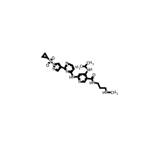 CNCCCNC(=O)c1cnc(Nc2ccnc(-c3cnn(S(=O)(=O)C4CC4)c3)n2)cc1NC(C)C